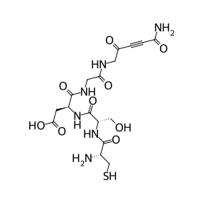 NC(=O)C#CC(=O)CNC(=O)CNC(=O)[C@H](CC(=O)O)NC(=O)[C@H](CO)NC(=O)[C@@H](N)CS